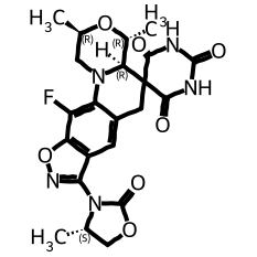 C[C@@H]1CN2c3c(cc4c(N5C(=O)OC[C@@H]5C)noc4c3F)CC3(C(=O)NC(=O)NC3=O)[C@@H]2[C@@H](C)O1